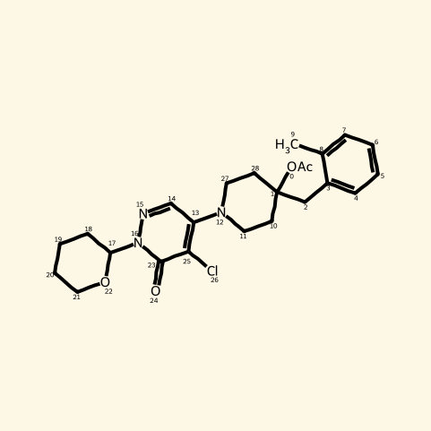 CC(=O)OC1(Cc2ccccc2C)CCN(c2cnn(C3CCCCO3)c(=O)c2Cl)CC1